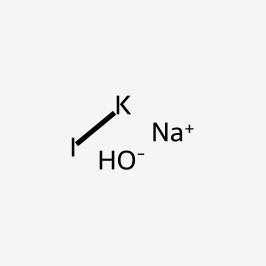 [K][I].[Na+].[OH-]